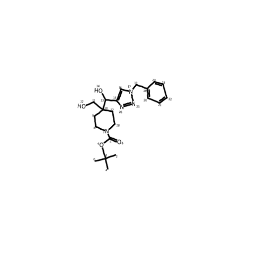 CC(C)(C)OC(=O)N1CCC(CO)(C(O)c2cn(Cc3ccccc3)nn2)CC1